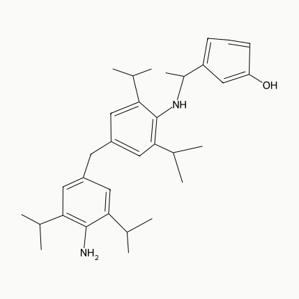 CC(C)c1cc(Cc2cc(C(C)C)c(NC(C)c3cccc(O)c3)c(C(C)C)c2)cc(C(C)C)c1N